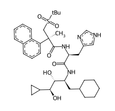 CC(C)(C)S(=O)(=O)C[C@@](C)(C(=O)N[C@@H](Cc1c[nH]cn1)C(=O)N[C@@H](CC1CCCCC1)[C@@H](O)[C@@H](O)C1CC1)c1cccc2ccccc12